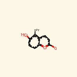 CCCc1c(O)ccc2oc(=O)ccc12